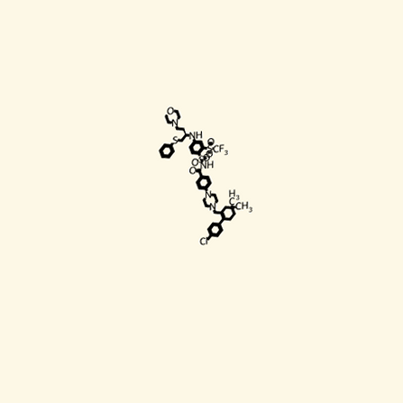 CC1(C)CCC(c2ccc(Cl)cc2)=C(CN2CCN(c3ccc(C(=O)NS(=O)(=O)c4ccc(N[C@H](CCN5CCOCC5)CSc5ccccc5)cc4S(=O)(=O)C(F)(F)F)cc3)CC2)C1